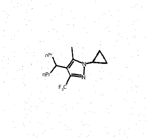 CCCC(CCC)c1c(C(F)(F)F)nn(C2CC2)c1C